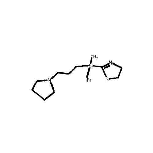 CC(C)[Si](C)(CCCN1CCCC1)C1=NCCS1